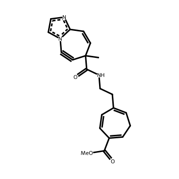 COC(=O)C1=CCC=C(CCNC(=O)C2(C)C#Cn3ccnc3C=C2)C=C1